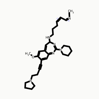 C/N=C\C=C/CCCNC1C=c2cc(OC)c(C#CCCN3CCCC3)cc2=NC(N2CCCCC2)=N1